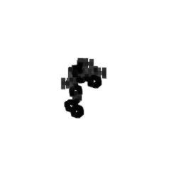 Bc1cnn2c(NC3CCN(Cc4cccc5ccccc45)CC3)cc(-c3ccccc3O)nc12